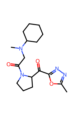 Cc1nnc(C(=O)C2CCCN2C(=O)CN(C)C2CCCCC2)o1